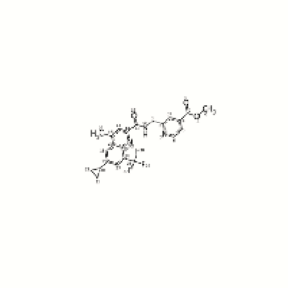 COC(=O)c1ccnc(CNC(=O)c2cc(C)c3cc(C4CC4)cc(C(F)(F)F)c3n2)c1